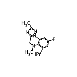 Cc1nc2n(n1)-c1cc(F)cc(C(C)C)c1N(C)C2